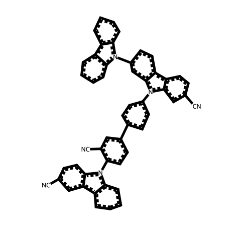 N#Cc1ccc2c(c1)c1ccccc1n2-c1ccc(-c2ccc(-n3c4cc(C#N)ccc4c4ccc(-n5c6ccccc6c6ccccc65)cc43)cc2)cc1C#N